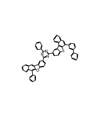 c1ccc(-c2cccc(-c3cc4ccccc4c4c3sc3ccc(-c5nc(-c6ccccc6)nc(-c6ccc7oc8c(-c9ccccc9)c9ccccc9cc8c7c6)n5)cc34)c2)cc1